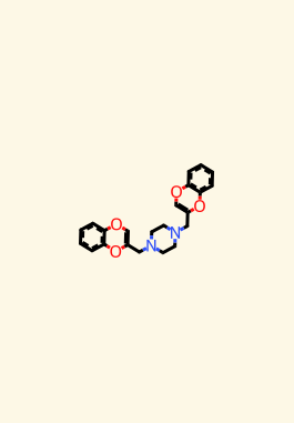 C1=C(CN2CCN(CC3=COc4ccccc4O3)CC2)Oc2ccccc2O1